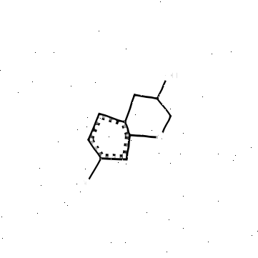 OC1CNc2cc(Br)ccc2C1